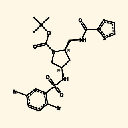 CC(C)(C)OC(=O)N1C[C@H](NS(=O)(=O)c2cc(Br)ccc2Br)C[C@@H]1CNC(=O)c1cccs1